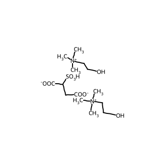 C[N+](C)(C)CCO.C[N+](C)(C)CCO.O=C([O-])CC(C(=O)[O-])S(=O)(=O)O